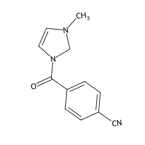 CN1C=CN(C(=O)c2ccc(C#N)cc2)C1